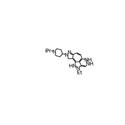 CCN1NC2=C3CN(C4CCN(C(C)C)CC4)N=C3C=CC3=C2C1=CNN3